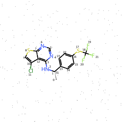 C[C@H](Nc1ncnc2scc(Cl)c12)c1ccc(SC(F)(F)F)cc1